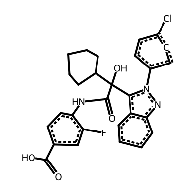 O=C(O)c1ccc(NC(=O)C(O)(c2c3ccccc3nn2-c2ccc(Cl)cc2)C2CCCCC2)c(F)c1